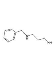 [NH]CCCNCc1ccccc1